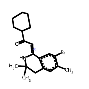 Cc1cc2c(cc1Br)/C(=C/C(=O)C1CCCCC1)NC(C)(C)C2